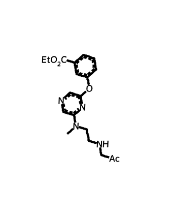 CCOC(=O)c1cccc(Oc2cncc(N(C)CCNCC(C)=O)n2)c1